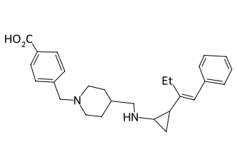 CC/C(=C\c1ccccc1)C1CC1NCC1CCN(Cc2ccc(C(=O)O)cc2)CC1